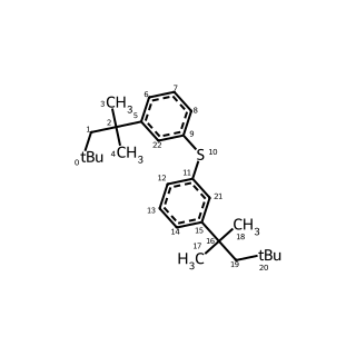 CC(C)(C)CC(C)(C)c1cccc(Sc2cccc(C(C)(C)CC(C)(C)C)c2)c1